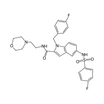 O=C(NCCN1CCOCC1)c1cc2cc(NS(=O)(=O)c3ccc(F)cc3)ccc2n1Cc1ccc(F)cc1